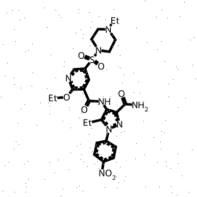 CCOc1ncc(S(=O)(=O)N2CCN(CC)CC2)cc1C(=O)Nc1c(C(N)=O)nn(-c2ccc([N+](=O)[O-])cc2)c1CC